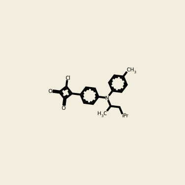 Cc1ccc(N(c2ccc(-c3c(Cl)c(=O)c3=O)cc2)C(C)CC(C)C)cc1